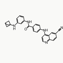 N#Cc1ccc2nccc(Nc3ccc(C(=O)Nc4cccc(NC56CC(C5)C6)c4)cc3)c2c1